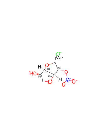 O=[N+]([O-])O[C@H]1CO[C@H]2[C@@H]1OC[C@H]2O.[Cl-].[Na+]